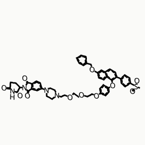 CS(=O)(=O)c1ccc(-c2ccc3cc(OCc4ccccc4)ccc3c2Oc2ccc(OCCOCCOCCN3CCN(c4ccc5c(c4)C(=O)N(C4CCC(=O)NC4=O)C5=O)CC3)cc2)cc1